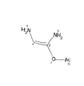 CC(=O)OC(N)=CN